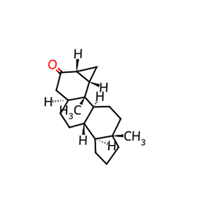 C[C@@]12CCC[C@H]1[C@@H]1CC[C@H]3CC(=O)[C@@H]4C[C@@H]4[C@]3(C)[C@H]1CC2